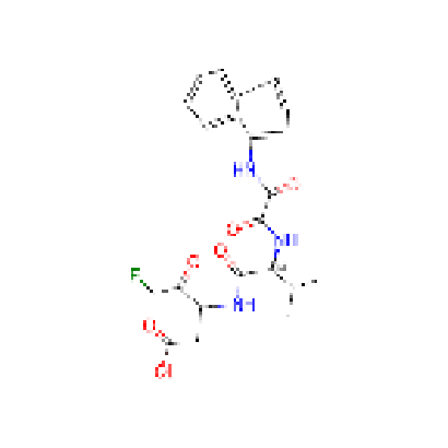 CC(C)[C@H](NC(=O)C(=O)Nc1cccc2ccccc12)C(=O)NC(CC(=O)O)C(=O)CF